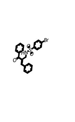 O=C(/C(=C/c1ccccc1)CNS(=O)(=O)c1ccc(Br)cc1)c1ccccc1